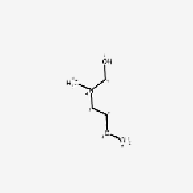 COCCN(C)CO